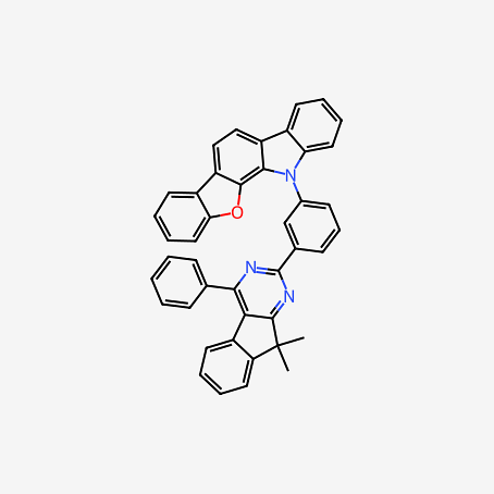 CC1(C)c2ccccc2-c2c(-c3ccccc3)nc(-c3cccc(-n4c5ccccc5c5ccc6c7ccccc7oc6c54)c3)nc21